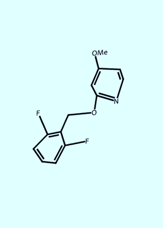 COc1ccnc(OCc2c(F)cccc2F)c1